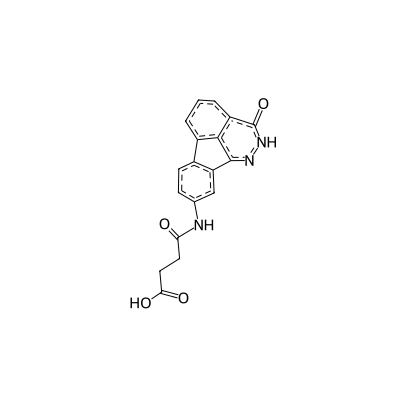 O=C(O)CCC(=O)Nc1ccc2c(c1)-c1n[nH]c(=O)c3cccc-2c13